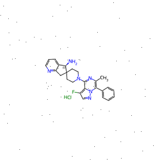 Cc1nc(N2CCC3(CC2)Cc2ncccc2[C@H]3N)c2c(F)cnn2c1-c1ccccc1.Cl